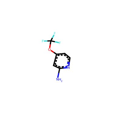 Nc1cc(OC(F)(F)F)ccn1